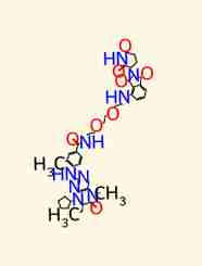 CC[C@@H]1C(=O)N(C)c2cnc(Nc3ccc(C(=O)NCCOCCOCCNc4cccc5c4C(=O)N(C4CCC(=O)NC4=O)C5=O)cc3C)nc2N1C1CCCC1